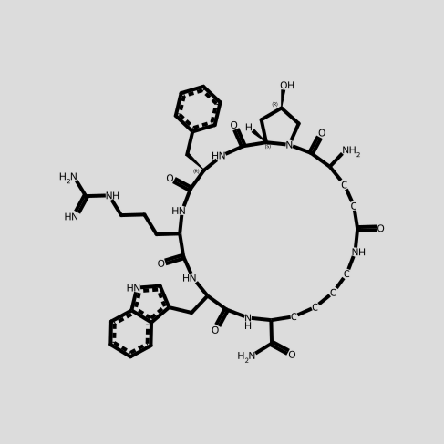 N=C(N)NCCCC1NC(=O)[C@@H](Cc2ccccc2)NC(=O)[C@@H]2C[C@@H](O)CN2C(=O)C(N)CCC(=O)NCCCCC(C(N)=O)NC(=O)C(Cc2c[nH]c3ccccc23)NC1=O